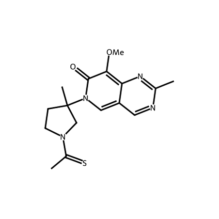 COc1c(=O)n(C2(C)CCN(C(C)=S)C2)cc2cnc(C)nc12